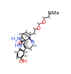 CNCCOCOCCC1CC2CN3CCc4c([nH]c5ccc(O)cc45)C(C(N)=O)(C2)C13